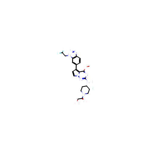 COc1nc(N[C@H]2CCN(C(=O)CO)C[C@H]2F)nn2ccc(-c3ccc4nnn(CC(F)F)c4c3)c12